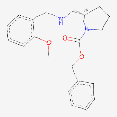 COc1ccccc1CNC[C@@H]1CCCN1C(=O)OCc1ccccc1